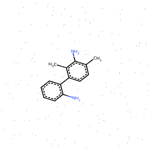 Cc1ccc(-c2ccccc2N)c(C)c1N